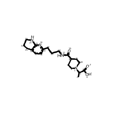 CC(C(=O)O)N1CCC(C(=O)NCCCc2ccc3c(n2)NCCC3)CC1